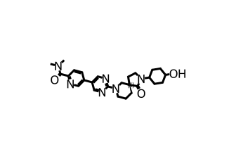 CN(C)C(=O)c1ccc(-c2cnc(N3CCC[C@]4(CCN(C5CCC(O)CC5)C4=O)C3)nc2)cn1